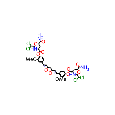 COc1cc(/C=C/C(=O)CC(=O)/C=C/c2ccc(OC(=O)[C@H](CCC(N)=O)NC(=O)C(Cl)Cl)c(OC)c2)ccc1OC(=O)[C@H](CCC(N)=O)NC(=O)C(Cl)Cl